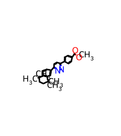 COC(=O)c1ccc(-c2ccc(-c3ccc4c(c3)C(C)(C)CCC4(C)C)nn2)cc1